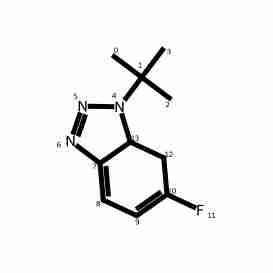 CC(C)(C)N1N=NC2=CC=C(F)CC21